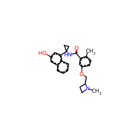 Cc1ccc(OCC2CCN2C)cc1C(=O)NC1(c2cc(O)cc3ccccc23)CC1